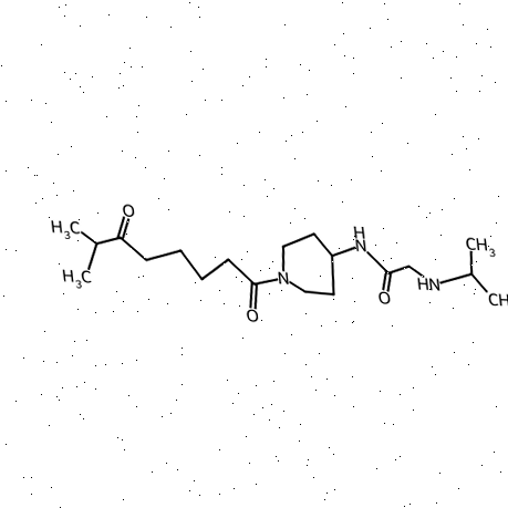 CC(C)NCC(=O)NC1CCN(C(=O)CCCCC(=O)C(C)C)CC1